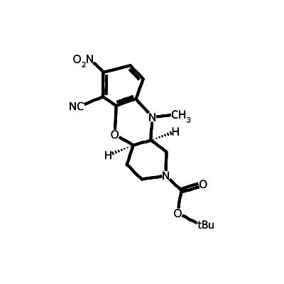 CN1c2ccc([N+](=O)[O-])c(C#N)c2O[C@@H]2CCN(C(=O)OC(C)(C)C)C[C@@H]21